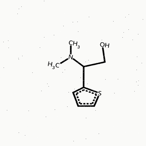 CN(C)C(CO)c1cccs1